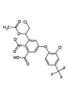 CC(=O)OC(CCl)c1cc(Oc2ccc(C(F)(F)F)cc2Cl)cc(C(=O)O)c1[N+](=O)[O-]